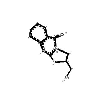 O=c1c2ccccc2nc2n1CC(CS)S2